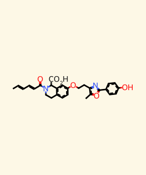 CC=CC=CC(=O)N1CCc2ccc(OCCc3nc(-c4ccc(O)cc4)oc3C)cc2C1C(=O)O